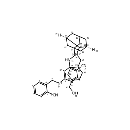 N#Cc1ccccc1CNc1ncc(C#N)c(NCC23CC4C[C@H](C2)C(NCC2CCC(CO)CC2)[C@@H](C4)C3)n1